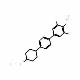 CCCCCC1CCC(c2ccc(-c3cc(F)c(SC#N)c(F)c3)cc2)CC1